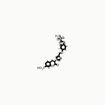 COC(=O)C(Cc1ccc(C(=O)O)cc1)n1cc(COc2ccc3nc(S(N)(=O)=O)sc3c2)nn1